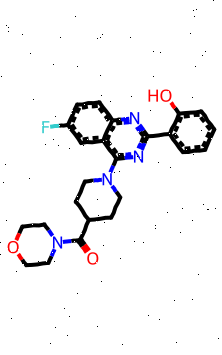 O=C(C1CCN(c2nc(-c3ccccc3O)nc3ccc(F)cc23)CC1)N1CCOCC1